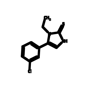 CCn1c(-c2cccc(Cl)c2)c[nH]c1=S